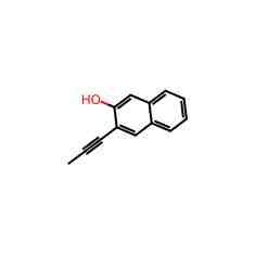 CC#Cc1cc2ccccc2cc1O